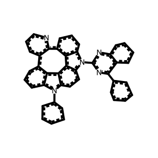 c1ccc(-c2nc(-n3c4cccc5c6ncccc6c6cccc7c6c6c(c54)c3ccc6n7-c3ccccc3)nc3ccccc23)cc1